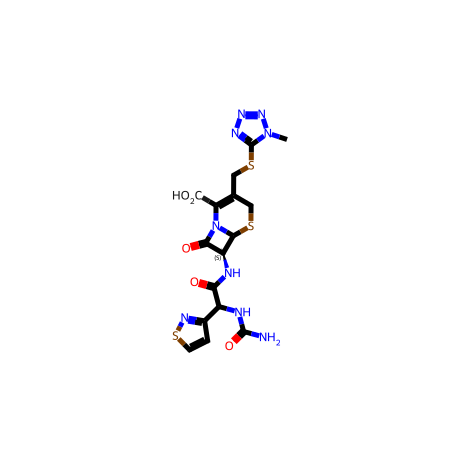 Cn1nnnc1SCC1=C(C(=O)O)N2C(=O)[C@H](NC(=O)C(NC(N)=O)c3ccsn3)C2SC1